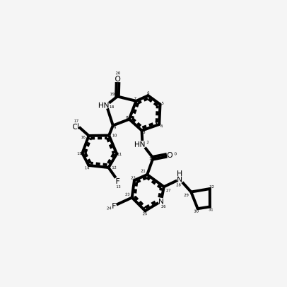 O=C(Nc1cccc2c1C(c1cc(F)ccc1Cl)NC2=O)c1cc(F)cnc1NC1CCC1